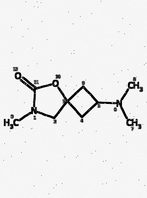 CN1CC2(CC(N(C)C)C2)OC1=O